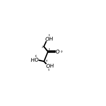 O=C(CO)C(O)O